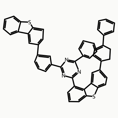 C1=C(c2ccccc2)CCC(c2ccc3sc4cccc(-c5nc(-c6ccccc6)nc(-c6cccc(-c7ccc8sc9ccccc9c8c7)c6)n5)c4c3c2)=C1